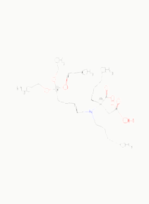 CCCCN(CCC[Si](OCC)(OCC)OCC)[C@@](CCCC)(CC(=O)O)C(=O)O